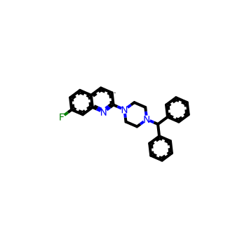 Fc1ccc2c[c]c(N3CCN(C(c4ccccc4)c4ccccc4)CC3)nc2c1